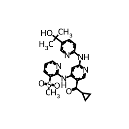 CC(C)(O)c1ccc(Nc2cc(Nc3ncccc3S(C)(=O)=O)c(C(=O)C3CC3)cn2)nc1